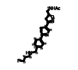 CC(=O)NCC1CC(c2ccc(-c3ccc(CNCCCF)cc3)nc2)=NO1